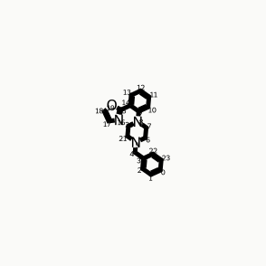 c1ccc(CN2CCN(c3ccccc3-c3ncco3)CC2)cc1